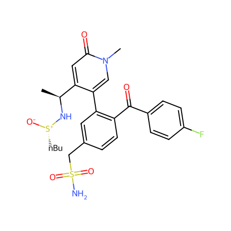 CCCC[S@+]([O-])N[C@@H](C)c1cc(=O)n(C)cc1-c1cc(CS(N)(=O)=O)ccc1C(=O)c1ccc(F)cc1